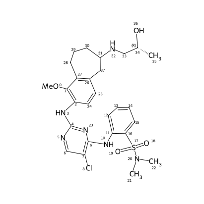 COc1c(Nc2ncc(Cl)c(Nc3ccccc3S(=O)(=O)N(C)C)n2)ccc2c1CCCC(NC[C@@H](C)O)C2